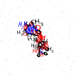 CC(=O)O[C@H]1C(=O)[C@@]2(C)C([C@H](OC(=O)c3ccccc3)[C@]3(O)C[C@H](OC(=O)[C@H](O)[C@@H](NC(=O)c4ccccc4)c4ccccc4)C(C)=C1C3(C)C)[C@]1(OC(C)=O)CO[C@@H]1C[C@@H]2OC(=O)OCc1ccc(NC(=O)[C@@H](CC(C)C)NC(=O)[C@@H](CC(N)=O)NC(=O)[C@@H](C)NC(=O)[C@@H](C)NC[C@@H](O)CCCO)cc1